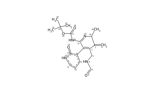 C=C1C(CNC=O)=C(c2ccc[nH]c2=O)C(NC(=O)OC(C)(C)C)=NC1C